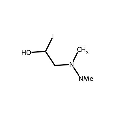 CNN(C)CC(O)I